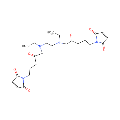 O=C(O)CN(CCN(CC(=O)O)CC(=O)CCCN1C(=O)C=CC1=O)CC(=O)CCCN1C(=O)C=CC1=O